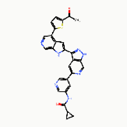 CC(=O)c1ccc(-c2cncc3[nH]c(-c4n[nH]c5cnc(-c6cncc(NC(=O)C7CC7)c6)cc45)cc23)s1